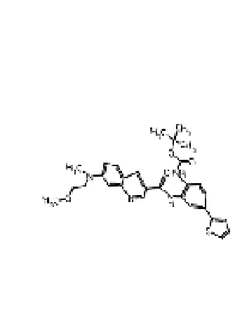 COCCN(C)c1ccc2cc(C(=O)Nc3cc(-c4cccs4)ccc3NC(=O)OC(C)(C)C)cnc2c1